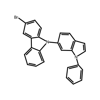 Brc1ccc2c(c1)c1ccccc1n2-c1ccc2ccn(-c3ccccc3)c2c1